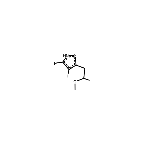 COC(C)Cc1n[nH]c(I)c1I